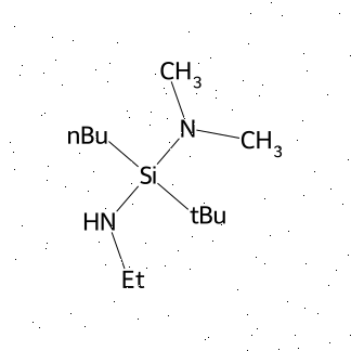 CCCC[Si](NCC)(N(C)C)C(C)(C)C